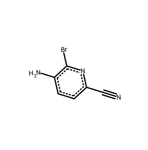 N#Cc1ccc(N)c(Br)n1